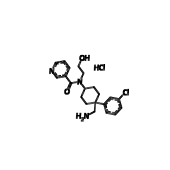 Cl.NCC1(c2cccc(Cl)c2)CCC(N(CCO)C(=O)c2cccnc2)CC1